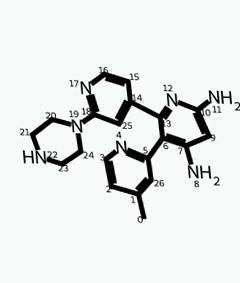 Cc1ccnc(-c2c(N)cc(N)nc2-c2ccnc(N3CCNCC3)c2)c1